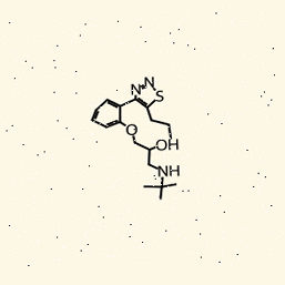 CCCc1snnc1-c1ccccc1OCC(O)CNC(C)(C)C